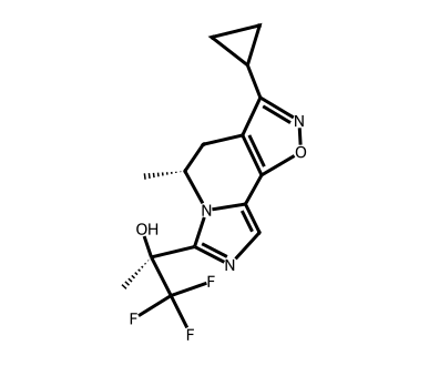 C[C@@H]1Cc2c(C3CC3)noc2-c2cnc([C@](C)(O)C(F)(F)F)n21